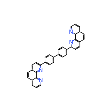 C1=CC2C=Cc3ccc(-c4ccc(-c5ccc(-c6ccc7ccc8cccnc8c7n6)cc5)cc4)nc3C2N=C1